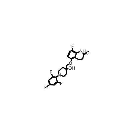 O=C1CCc2c(OCC3(O)CCN(c4c(F)cc(F)cc4F)CC3)ccc(F)c2N1